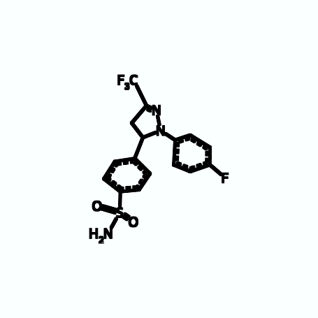 NS(=O)(=O)c1ccc(C2CC(C(F)(F)F)=NN2c2ccc(F)cc2)cc1